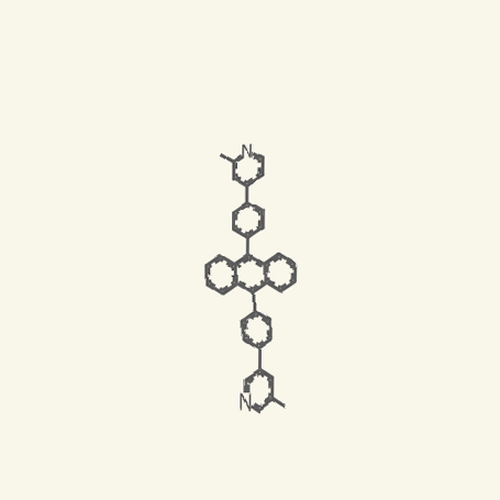 Cc1cncc(-c2ccc(-c3c4ccccc4c(-c4ccc(-c5ccnc(C)c5)cc4)c4ccccc34)cc2)c1